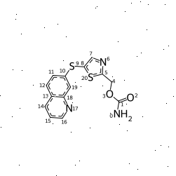 NC(=O)OCc1ncc(Sc2ccc3cccnc3c2)s1